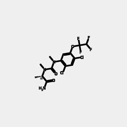 C[C@@H](C(N)=O)N(C)C(=O)N(C)c1cc(OC(F)(F)C(F)F)c(Cl)cc1Cl